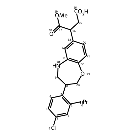 CCCc1cc(Cl)ccc1C1CNc2cc(C(CC(=O)O)C(=O)OC)ccc2OC1